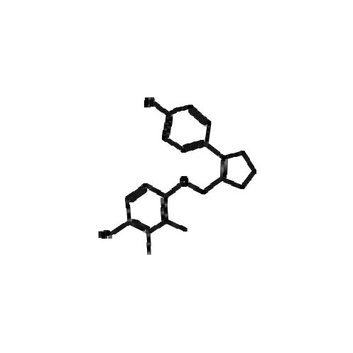 CCCc1ccc(OCC2=C(c3ccc(CC)cc3)CCC2)c(C)c1C